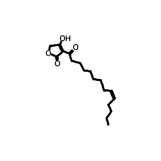 CCCC/C=C\CCCCCCCC(=O)C1=C(O)COC1=O